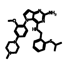 COc1cc(N2CCN(C)CC2)ccc1-n1ccc2nc(N)nc(NCc3ccccc3SC(C)C)c21